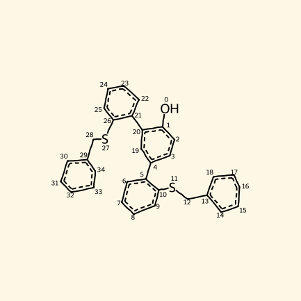 Oc1ccc(-c2ccccc2SCc2ccccc2)cc1-c1ccccc1SCc1ccccc1